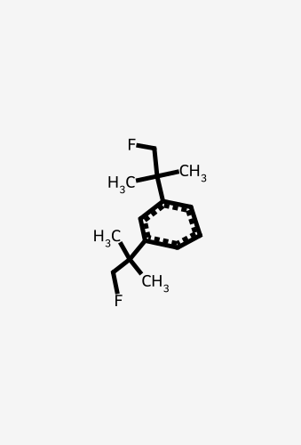 CC(C)(CF)c1cccc(C(C)(C)CF)c1